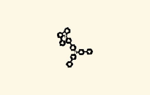 c1ccc(-c2ccc(N(c3ccc(-c4ccccc4)cc3)c3ccc(-c4ccc(-n5c6ccccc6c6cccc(-c7ccccc7)c65)cc4)cc3)cc2)cc1